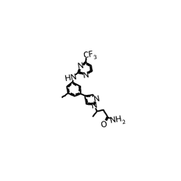 Cc1cc(Nc2nccc(C(F)(F)F)n2)cc(-c2cnn(C(C)CC(N)=O)c2)c1